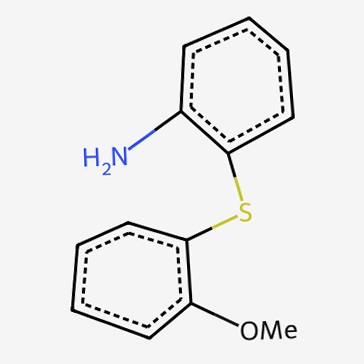 COc1ccccc1Sc1ccccc1N